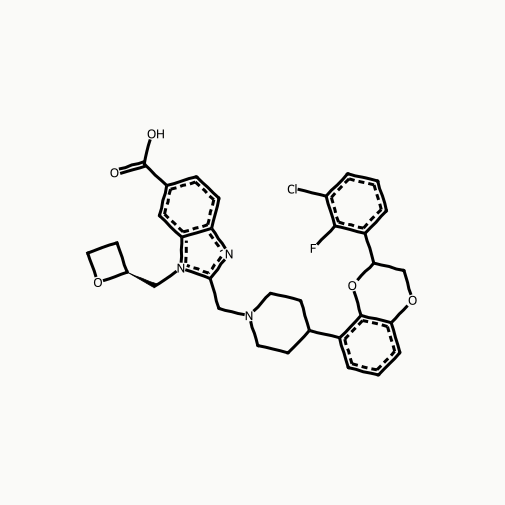 O=C(O)c1ccc2nc(CN3CCC(c4cccc5c4OC(c4cccc(Cl)c4F)CO5)CC3)n(C[C@@H]3CCO3)c2c1